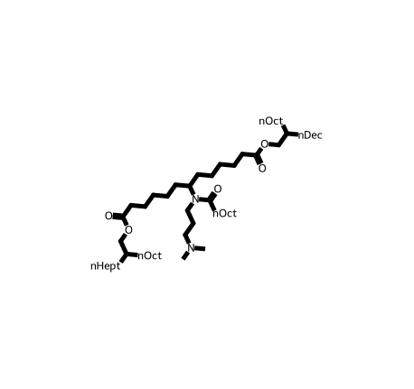 CCCCCCCCCCC(CCCCCCCC)COC(=O)CCCCCC(CCCCCC(=O)OCC(CCCCCCC)CCCCCCCC)N(CCCN(C)C)C(=O)CCCCCCCC